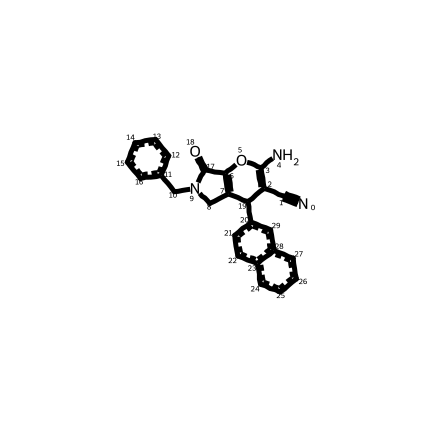 N#CC1=C(N)OC2=C(CN(Cc3ccccc3)C2=O)C1c1ccc2ccccc2c1